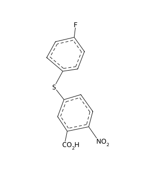 O=C(O)c1cc(Sc2ccc(F)cc2)ccc1[N+](=O)[O-]